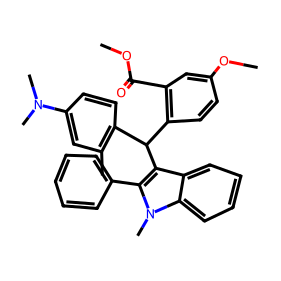 COC(=O)c1cc(OC)ccc1C(c1ccc(N(C)C)cc1C)c1c(-c2ccccc2)n(C)c2ccccc12